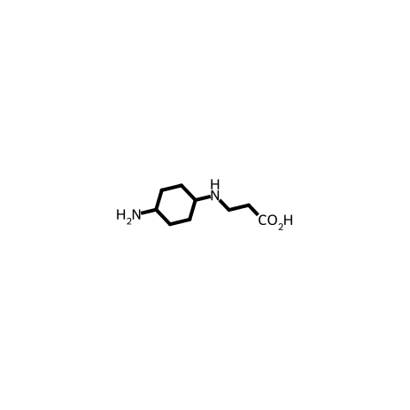 NC1CCC(NCCC(=O)O)CC1